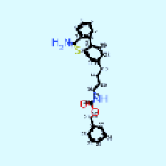 NC(=S)c1ccccc1-c1ccc(CCCCNC(=O)OCc2ccccc2)cc1